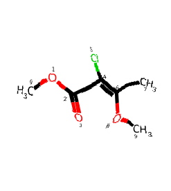 COC(=O)C(Cl)=C(C)OC